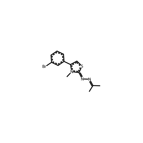 CC(C)=N/N=c1\scc(-c2cccc(Br)c2)n1C